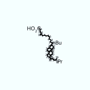 CCCCC(CCC/C=C\CCCC(C)CCCC(=O)O)C1CC[C@]2(C)C3=C(CCC2C1)C1CC[C@H]([C@H](C)C=C[C@H](C)C(C)C)[C@@]1(C)CC3